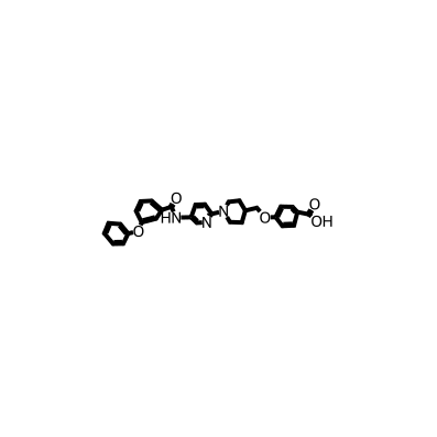 O=C(O)c1ccc(OCC2CCN(c3ccc(NC(=O)c4cccc(Oc5ccccc5)c4)cn3)CC2)cc1